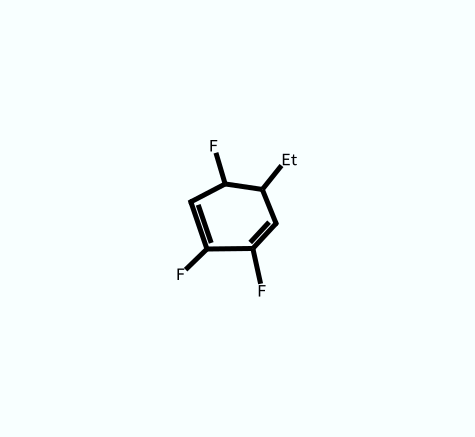 CCC1C=C(F)C(F)=CC1F